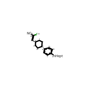 CCCCCCCc1ccc([C@H]2CC[C@H](C=C(F)C#N)CC2)cc1